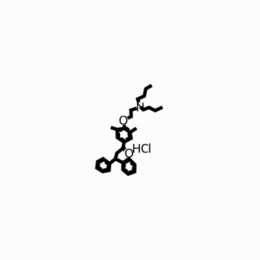 CCCCN(CCCC)CCOc1c(C)cc(C(=O)CC(c2ccccc2)c2ccccc2)cc1C.Cl